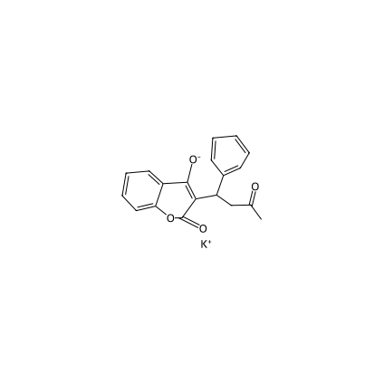 CC(=O)CC(c1ccccc1)c1c([O-])c2ccccc2oc1=O.[K+]